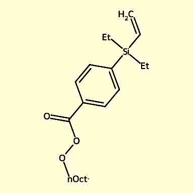 [CH2]CCCCCC[CH]OOC(=O)c1ccc([Si](C=C)(CC)CC)cc1